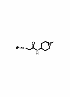 CCCC(C)CC(=O)NC1CCN(C)CC1